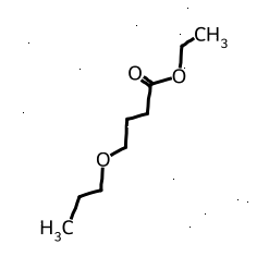 CCCOCCCC(=O)OCC